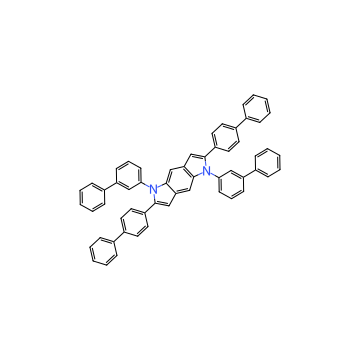 c1ccc(-c2ccc(-c3cc4cc5c(cc(-c6ccc(-c7ccccc7)cc6)n5-c5cccc(-c6ccccc6)c5)cc4n3-c3cccc(-c4ccccc4)c3)cc2)cc1